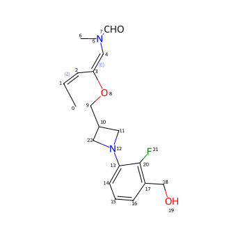 C/C=C\C(=C/N(C)C=O)OCC1CN(c2cccc(CO)c2F)C1